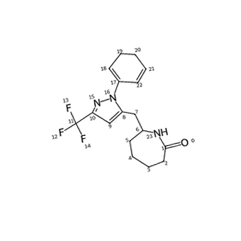 O=C1CCCCC(Cc2cc(C(F)(F)F)nn2C2=CCCC=C2)N1